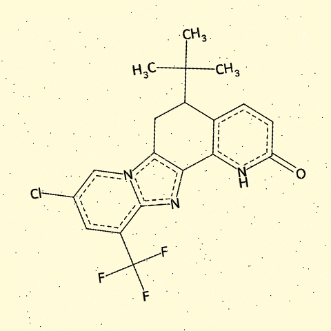 CC(C)(C)C1Cc2c(nc3c(C(F)(F)F)cc(Cl)cn23)-c2[nH]c(=O)ccc21